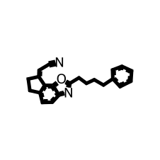 N#C/C=C1/CCc2ccc3nc(CCCCc4ccccc4)oc3c21